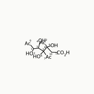 CC(=O)C(O)C(O)C(O)(C(C)=O)C(O)(CC(=O)O)C(C)=O